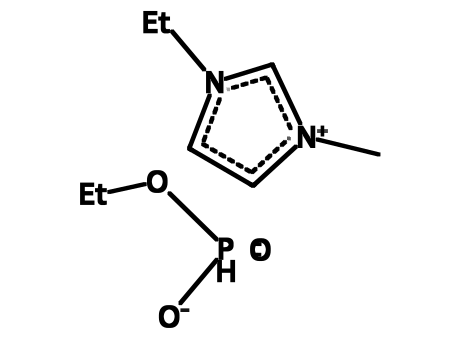 CCO[PH](=O)[O-].CCn1cc[n+](C)c1